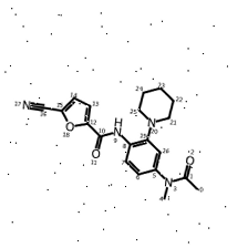 CC(=O)N(C)c1ccc(NC(=O)c2ccc(C#N)o2)c(N2CCCCC2)c1